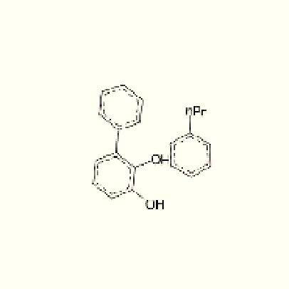 CCCc1ccccc1.Oc1cccc(-c2ccccc2)c1O